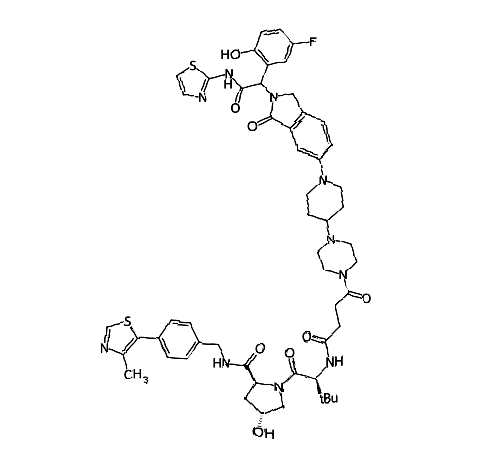 Cc1ncsc1-c1ccc(CNC(=O)[C@@H]2C[C@@H](O)CN2C(=O)[C@@H](NC(=O)CCC(=O)N2CCN(C3CCN(c4ccc5c(c4)C(=O)N(C(C(=O)Nc4nccs4)c4cc(F)ccc4O)C5)CC3)CC2)C(C)(C)C)cc1